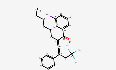 CCCCCCC(=C=C(CC(F)(F)F)c1ccccc1)C(=O)c1cccc(I)c1